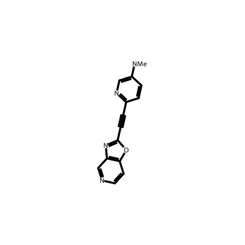 CNc1ccc(C#Cc2nc3cnccc3o2)nc1